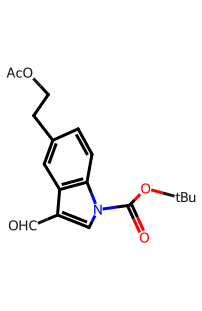 CC(=O)OCCc1ccc2c(c1)c(C=O)cn2C(=O)OC(C)(C)C